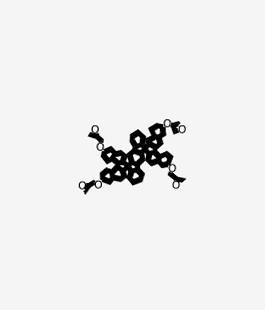 c1ccc2c(c1)-c1cc3c(cc1C2(c1ccc2cc(OCC4CO4)ccc2c1)c1ccc2cc(OCC4CO4)ccc2c1)-c1ccccc1C3(c1ccc2cc(OCC3CO3)ccc2c1)c1ccc2cc(OC3COC3)ccc2c1